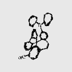 O=Cc1ccc2c(c1)C1(c3cc(N(c4ccccc4)c4ccccc4)ccc3C=C2)c2ccccc2-c2ccccc21